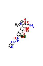 CN(C)[C@@H]1C(O)=C(C(N)=O)C(=O)[C@@]2(O)C(O)=C3C(=O)c4c(ccc(NC(=O)CNCc5ccccn5)c4O)CC3CC12.Cl.Cl